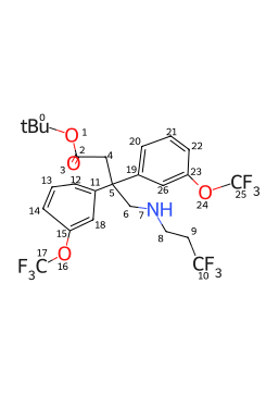 CC(C)(C)OC(=O)CC(CNCCC(F)(F)F)(c1cccc(OC(F)(F)F)c1)c1cccc(OC(F)(F)F)c1